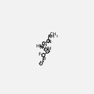 CCNCc1cncc(-c2ccc3[nH]nc(-c4cc5c(-c6cc(F)cc(OCCN7CCCC7)c6)ccnc5[nH]4)c3n2)c1